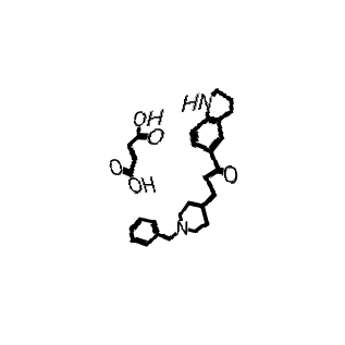 O=C(CCC1CCN(Cc2ccccc2)CC1)c1ccc2c(c1)CCCN2.O=C(O)C=CC(=O)O